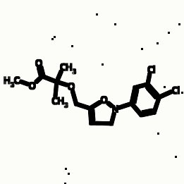 COC(=O)C(C)(C)OCC1=CCN(c2ccc(Cl)c(Cl)c2)O1